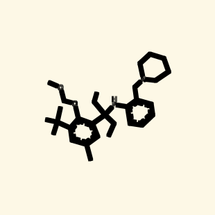 CCC(CC)(Pc1ccccc1CN1CCCCC1)c1cc(C)cc(C(C)(C)C)c1OCOC